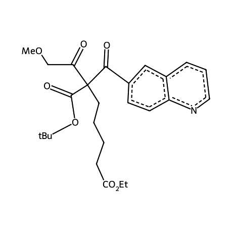 CCOC(=O)CCCCC(C(=O)COC)(C(=O)OC(C)(C)C)C(=O)c1ccc2ncccc2c1